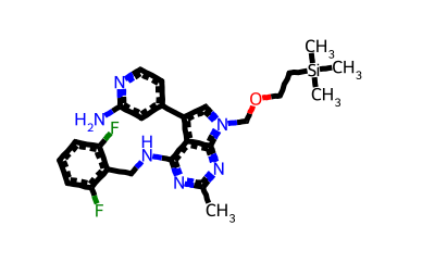 Cc1nc(NCc2c(F)cccc2F)c2c(-c3ccnc(N)c3)cn(COCC[Si](C)(C)C)c2n1